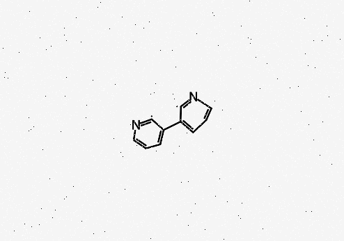 [c]1ncccc1-c1[c]nccc1